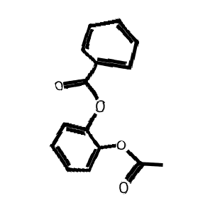 CC(=O)Oc1ccccc1OC(=O)c1ccccc1